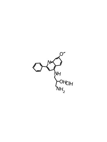 COc1ccc2c(NCC(O)CN)cc(-c3ccccc3)nc2c1.Cl